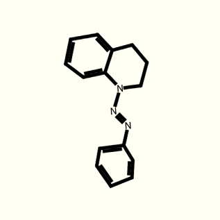 c1ccc(N=NN2CCCc3ccccc32)cc1